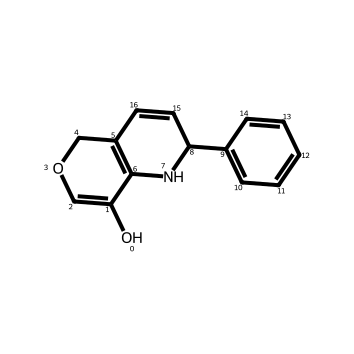 OC1=COCC2=C1NC(c1ccccc1)C=C2